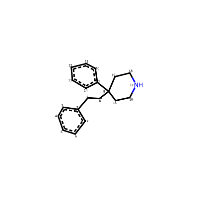 [CH](Cc1ccccc1)C1(c2ccccc2)CCNCC1